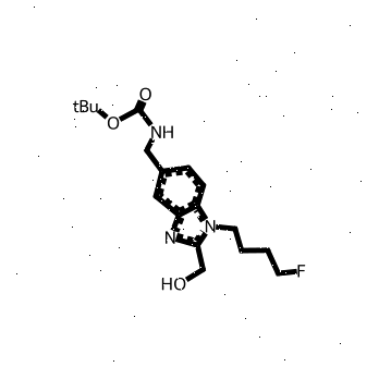 CC(C)(C)OC(=O)NCc1ccc2c(c1)nc(CO)n2CCCCF